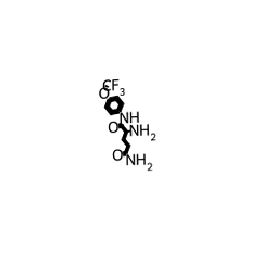 NC(=O)CC[C@H](N)C(=O)Nc1ccc(OC(F)(F)F)cc1